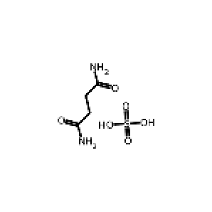 NC(=O)CCC(N)=O.O=S(=O)(O)O